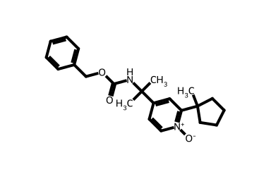 CC1(c2cc(C(C)(C)NC(=O)OCc3ccccc3)cc[n+]2[O-])CCCC1